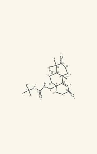 CC(C)(C)OC(=O)NC[C@]12CCC(=O)C=C1[C@@]1(C)CCC(=O)C(C)(C)[C@@H]1CC2